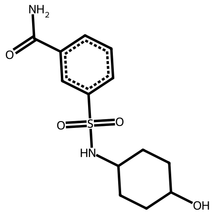 NC(=O)c1cccc(S(=O)(=O)NC2CCC(O)CC2)c1